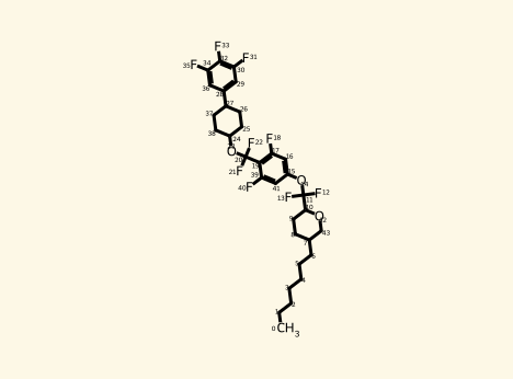 CCCCCCCC1CCC(C(F)(F)Oc2cc(F)c(C(F)(F)OC3CCC(c4cc(F)c(F)c(F)c4)CC3)c(F)c2)OC1